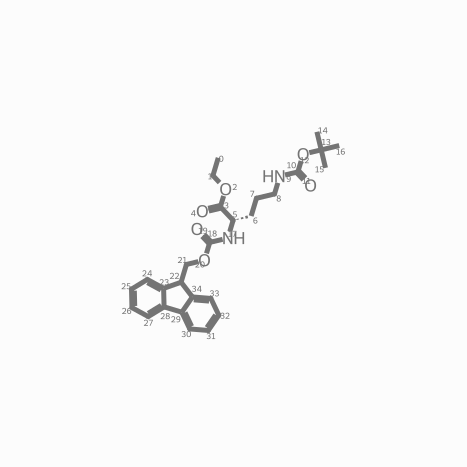 CCOC(=O)[C@H](CCCNC(=O)OC(C)(C)C)NC(=O)OCC1c2ccccc2-c2ccccc21